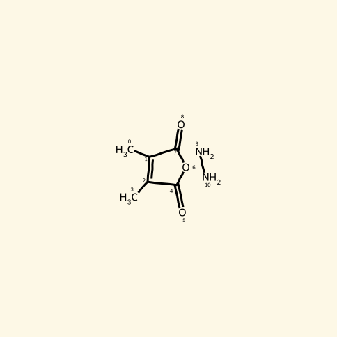 CC1=C(C)C(=O)OC1=O.NN